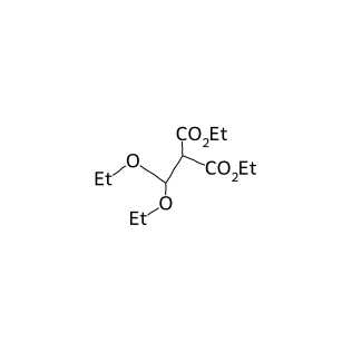 CCOC(=O)C(C(=O)OCC)C(OCC)OCC